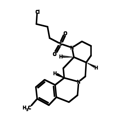 Cc1ccc2c(c1)CCN1C[C@@H]3CCCN(S(=O)(=O)CCCCl)[C@@H]3C[C@@H]21